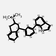 CN(C)C1Cc2ccccc2C(c2cccc(-c3cccc4cc[nH]c34)c2)C1